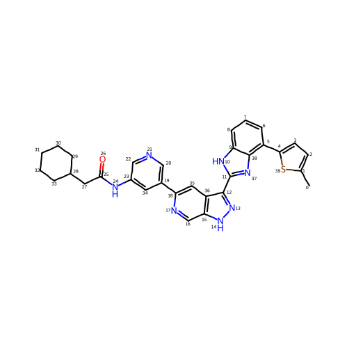 Cc1ccc(-c2cccc3[nH]c(-c4n[nH]c5cnc(-c6cncc(NC(=O)CC7CCCCC7)c6)cc45)nc23)s1